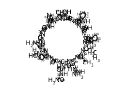 CCCCC[C@H]1C(=O)N(C)[C@@H](CCCC)C(=O)N[C@@H](CCCNC(=N)N)C(=O)N[C@H](C(=O)NCC(=O)NCC(N)=O)CSCC(=O)N[C@@H](Cc2ccc(O)cc2)C(=O)N(C)[C@@H](C)C(=O)N[C@@H](CC(N)=O)C(=O)N2CCC[C@H]2C(=O)N[C@@H](Cc2cnc[nH]2)C(=O)N[C@@H](CC(C)C)C(=O)N2C[C@H](O)C[C@H]2C(=O)N[C@@H](Cc2c[nH]c3ccccc23)C(=O)N[C@@H](CO)C(=O)N[C@@H](Cc2c[nH]c3ccccc23)C(=O)N1C